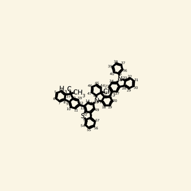 CC1(C)c2ccccc2-c2ccc(-c3cc(N4c5cccc(-c6ccc7c(c6)c6ccccc6n7-c6ccccc6)c5C5(C)C=CC=CC45)cc4c3sc3ccccc34)cc21